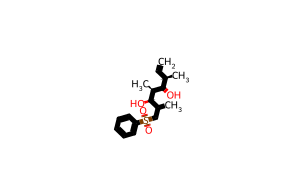 C=C[C@@H](C)C(O)[C@@H](C)[C@H](O)C(C)CS(=O)(=O)c1ccccc1